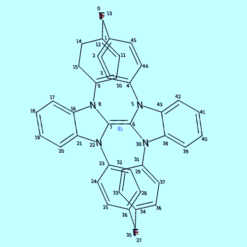 FC1=C=C=C(N2/C(=C3\N(C4=CC=C(F)CC4)c4ccccc4N3c3ccc(F)cc3)N(c3ccc(F)cc3)c3ccccc32)C=C1